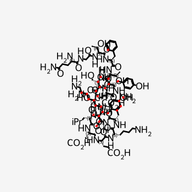 CC(C)C[C@H](NC(=O)[C@H](Cc1ccc(O)cc1)NC(=O)[C@H](CCCCN)NC(=O)[C@H](CO)NC(=O)[C@H](Cc1ccc(O)cc1)NC(=O)[C@H](CC(=O)O)NC(=O)[C@H](CO)NC(=O)[C@@H](NC(=O)[C@H](Cc1ccccc1)NC(=O)[C@@H](NC(=O)CNC(=O)[C@@H](N)CCC(N)=O)[C@@H](C)O)[C@@H](C)O)C(=O)N[C@@H](CC(=O)O)C(=O)N[C@@H](CCC(=O)O)C(=O)N[C@@H](CCCCN)C(=O)N[C@@H](CCCCN)C(=O)N[C@@H](C)C(=O)N[C@@H](CCCCN)C(=O)O